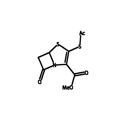 COC(=O)C1=C(SC(C)=O)SC2CC(=O)N12